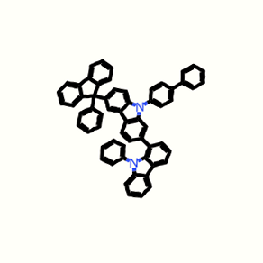 c1ccc(-c2ccc(-n3c4ccc(C5(c6ccccc6)c6ccccc6-c6ccccc65)cc4c4ccc(-c5cccc6c7ccccc7n(-c7ccccc7)c56)cc43)cc2)cc1